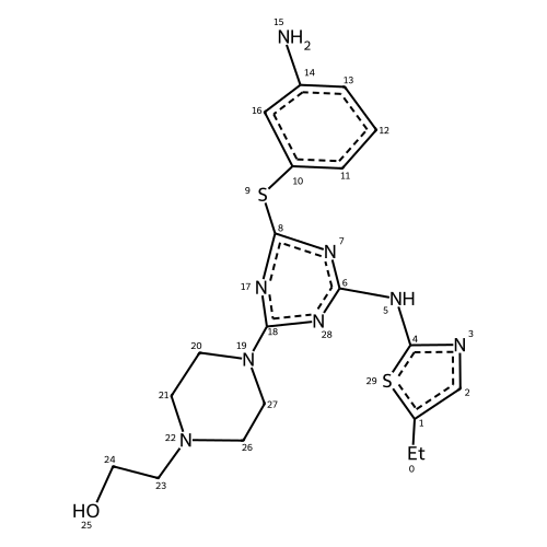 CCc1cnc(Nc2nc(Sc3cccc(N)c3)nc(N3CCN(CCO)CC3)n2)s1